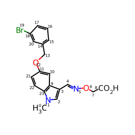 Cn1cc(/C=N/OCC(=O)O)c2cc(OCc3cccc(Br)c3)ccc21